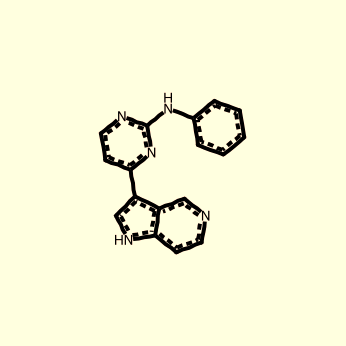 c1ccc(Nc2nccc(-c3c[nH]c4ccncc34)n2)cc1